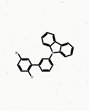 Clc1ccc(Br)cc1-c1cccc(-n2c3ccccc3c3ccccc32)c1